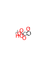 COc1cccc2c1CC(O)(C(=O)OC(C)C)C2=O